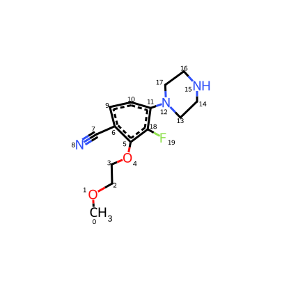 COCCOc1c(C#N)ccc(N2CCNCC2)c1F